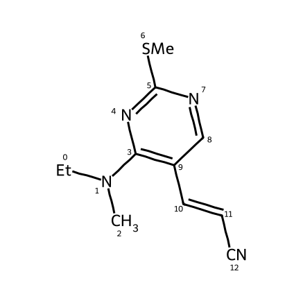 CCN(C)c1nc(SC)ncc1C=CC#N